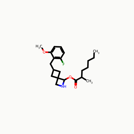 CCCCCC(C)C(=O)OC1NCC12CC(Cc1c(F)cccc1OC)C2